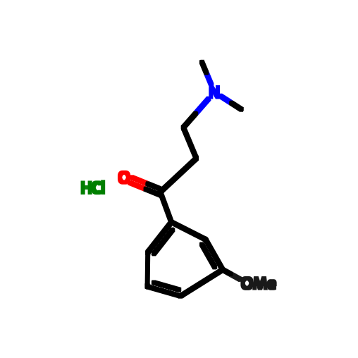 COc1cccc(C(=O)CCN(C)C)c1.Cl